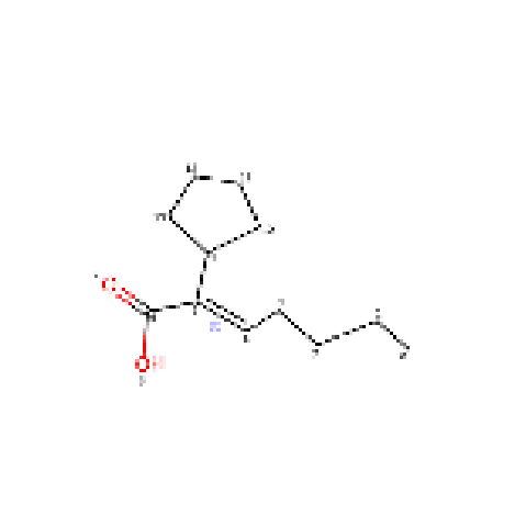 CCCC/C=C(/C(=O)O)C1CCCC1